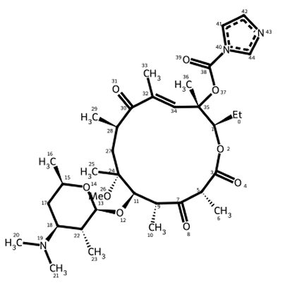 CC[C@H]1OC(=O)[C@H](C)C(=O)[C@H](C)[C@@H](O[C@@H]2O[C@H](C)C[C@H](N(C)C)[C@H]2C)[C@](C)(OC)C[C@@H](C)C(=O)/C(C)=C/[C@]1(C)OC(=O)n1ccnc1